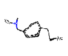 CCN(C)Cc1ccc(CCC(C)=O)cc1